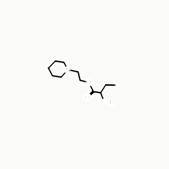 CC(CI)C(=O)OCCN1CCCCC1